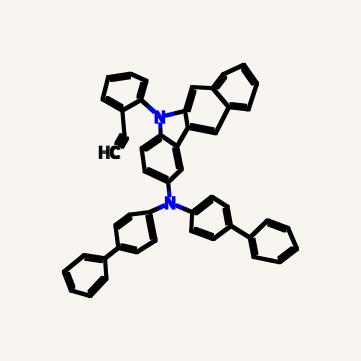 C#Cc1ccccc1-n1c2ccc(N(c3ccc(-c4ccccc4)cc3)c3ccc(-c4ccccc4)cc3)cc2c2cc3ccccc3cc21